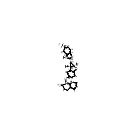 O=C1CCc2cccnc2N1Oc1ccc2c(c1)[C@@H]1[C@H](O2)[C@H]1c1nc2ccc(C(F)(F)F)cc2[nH]1